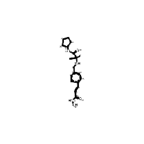 CC(C)(NCc1ccc(C=CC(=O)NO)cc1)C(=O)OC1CCCC1